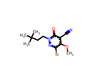 COc1c(Br)nn(CCC(C)(C)C)c(=O)c1C#N